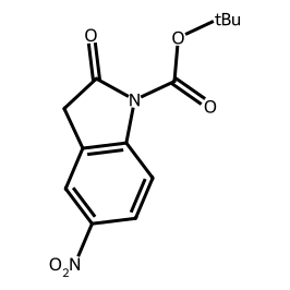 CC(C)(C)OC(=O)N1C(=O)Cc2cc([N+](=O)[O-])ccc21